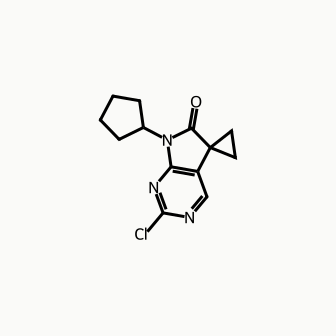 O=C1N(C2CCCC2)c2nc(Cl)ncc2C12CC2